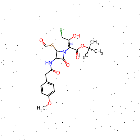 COc1ccc(CC(=O)NC2C(=O)N(/C(C(=O)OC(C)(C)C)=C(/O)CBr)C2SC=O)cc1